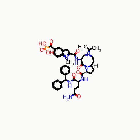 CC(C)N1CC[C@H]2CC[C@@H](C(=O)N[C@@H](CCC(N)=O)C(=O)NC(c3ccccc3)c3ccccc3)N2C(=O)[C@@H](NC(=O)c2cc3cc(C(=O)P(=O)(O)O)ccc3n2C)C1